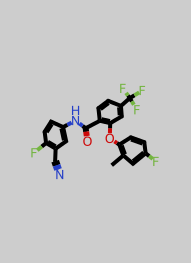 Cc1cc(F)ccc1Oc1cc(C(F)(F)F)ccc1C(=O)Nc1ccc(F)c(C#N)c1